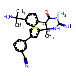 CN1C(=N)N[C@](C)(c2cc(-c3cccc(C#N)c3)cs2)[C@@H](c2ccc(C(C)(C)N)cc2)C1=O